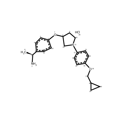 C[C@H](N)c1ccc(OC2CCN(c3ccc(OCC4CC4)cc3)C2)cc1.Cl